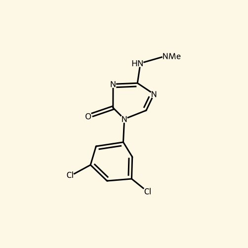 CNNc1ncn(-c2cc(Cl)cc(Cl)c2)c(=O)n1